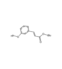 CCCOc1cccc(C=CC(=O)OC(C)(C)C)c1